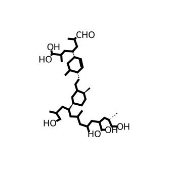 CC(C=O)CC(CC(C)C(O)O)[C@@H]1C=C[C@H](CCC2C[C@H](C(CC(C)CO)CC(C)CC(C)CC(C[C@H](C)CO)C(O)O)CC[C@@H]2C)C(C)C1